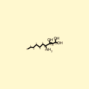 CCCCCCC(N)C(O)=CC(O)O